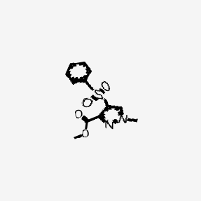 COC(=O)c1nn(C)cc1S(=O)(=O)c1ccccc1